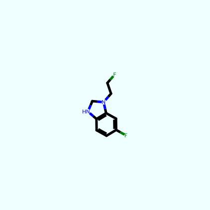 FCCN1[CH]Nc2ccc(F)cc21